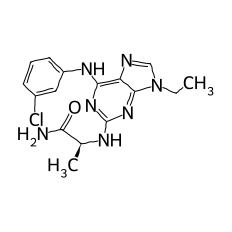 CCn1cnc2c(Nc3cccc(Cl)c3)nc(N[C@@H](C)C(N)=O)nc21